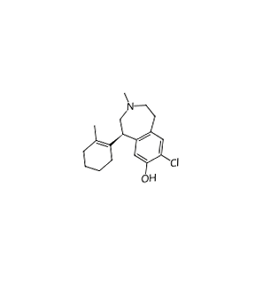 CC1=C([C@H]2CN(C)CCc3cc(Cl)c(O)cc32)CCCC1